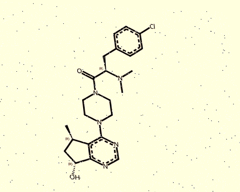 C[C@@H]1C[C@@H](O)c2ncnc(N3CCN(C(=O)[C@@H](Cc4ccc(Cl)cc4)N(C)C)CC3)c21